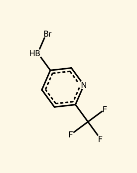 FC(F)(F)c1ccc(BBr)cn1